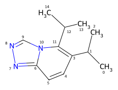 CC(C)c1ccc2nncn2c1C(C)C